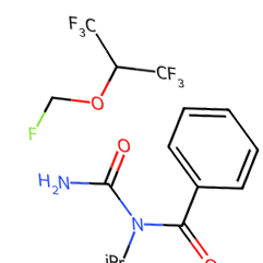 CC(C)N(C(N)=O)C(=O)c1ccccc1.FCOC(C(F)(F)F)C(F)(F)F